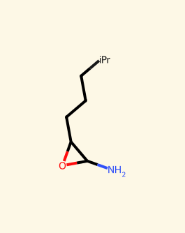 CC(C)CCCC1OC1N